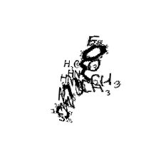 Cc1c(C(NC(=O)Nc2cnc(N3CCSCC3)nc2)C(C)C)oc2ccc(F)cc12